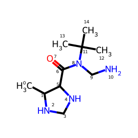 CC1NCNC1C(=O)N(CN)C(C)(C)C